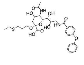 CCSCCCO[C@]1(C(=O)O)CC(O)[C@@H](NC(C)=O)[C@H]([C@H](O)[C@H](O)CNC(=O)c2ccc(Oc3ccccc3)cc2)O1